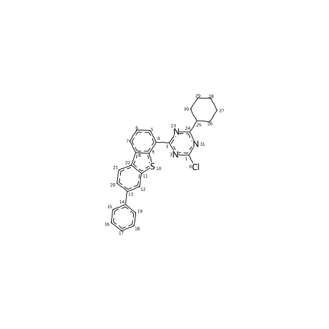 Clc1nc(-c2cccc3c2sc2cc(-c4ccccc4)ccc23)nc(C2CCCCC2)n1